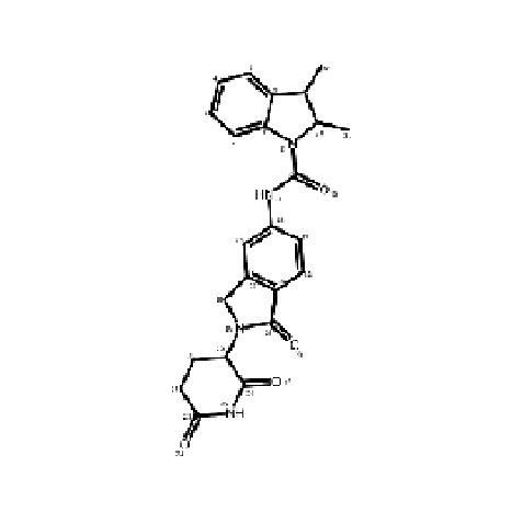 CC1c2ccccc2N(C(=O)Nc2ccc3c(c2)CN(C2CCC(=O)NC2=O)C3=O)C1C